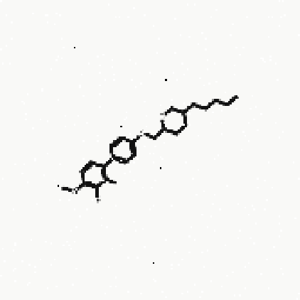 CCCCCC1CCC(COc2ccc(-c3ccc(OC)c(F)c3F)cc2)OC1